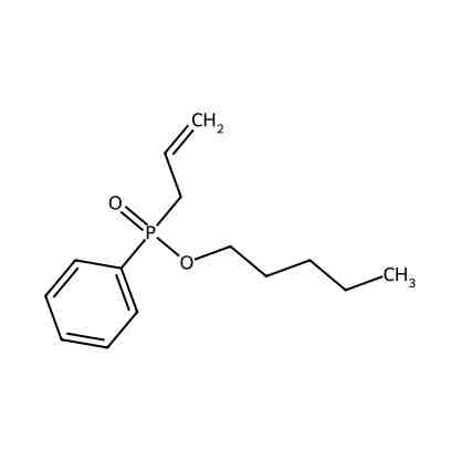 C=CCP(=O)(OCCCCC)c1ccccc1